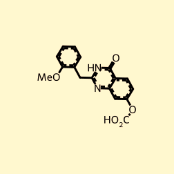 COc1ccccc1Cc1nc2cc(OC(=O)O)ccc2c(=O)[nH]1